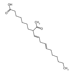 CCCCCC/C=C/C/C=C/C(CCCCCCC(=O)O)C(C)=O